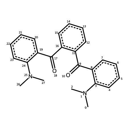 CN(C)c1ccccc1C(=O)c1ccccc1C(=O)c1ccccc1N(C)C